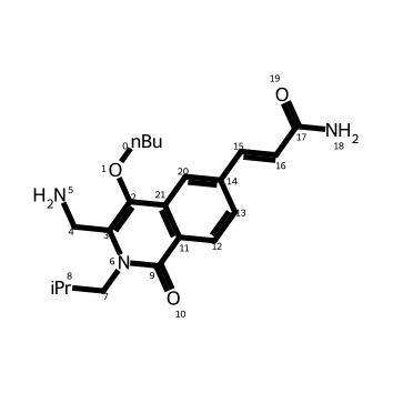 CCCCOc1c(CN)n(CC(C)C)c(=O)c2ccc(/C=C/C(N)=O)cc12